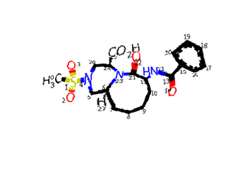 CS(=O)(=O)N1C[C@@H]2CCCC[C@H](NC(=O)c3ccccc3)C(=O)N2[C@H](C(=O)O)C1